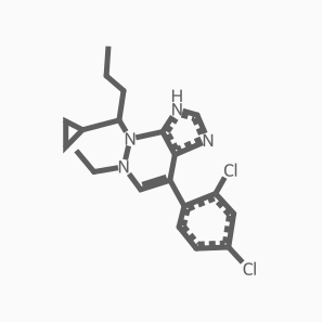 CCCC(C1CC1)N1c2[nH]cnc2C(c2ccc(Cl)cc2Cl)=CN1CC